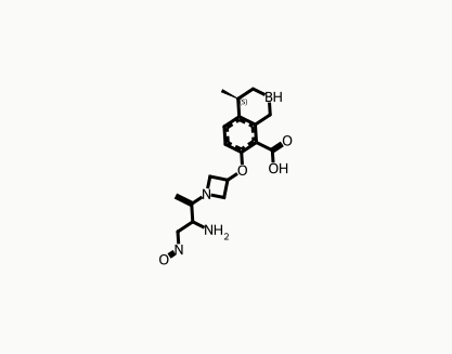 C=C(C(N)CN=O)N1CC(Oc2ccc3c(c2C(=O)O)CBC[C@@H]3C)C1